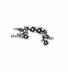 COC(=O)N[C@@H](C(=O)N1C[C@@H](O)C[C@H]1c1ncc(-c2ccc(-c3ccc(-c4cnc([C@@H]5C[C@H](O)CN5C(=O)[C@H](C)c5ccccc5)[nH]4)cc3)cc2)[nH]1)c1ccccc1